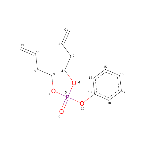 C=CCCOP(=O)(OCCC=C)Oc1ccccc1